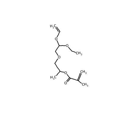 C=COC(COCC(C)OC(=O)C(=C)C)OCC